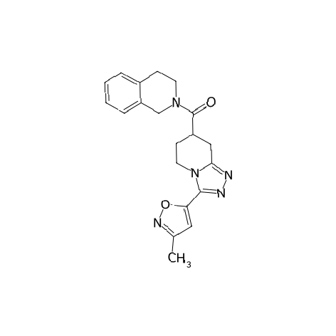 Cc1cc(-c2nnc3n2CCC(C(=O)N2CCc4ccccc4C2)C3)on1